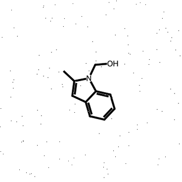 Cc1cc2ccccc2n1CO